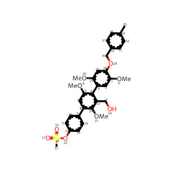 COc1cc(-c2c(OC)cc(-c3ccc(OS(C)(=O)=O)cc3)c(OC)c2CO)c(OC)cc1OCc1ccc(C)cc1